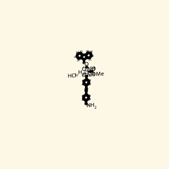 COC(=O)[C@](C)(NC(=O)OCC1c2ccccc2-c2ccccc21)NC(=O)c1ccc(C#Cc2ccc(CN)cc2)cc1.Cl